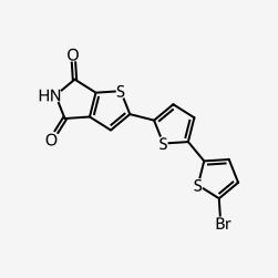 O=C1NC(=O)c2sc(-c3ccc(-c4ccc(Br)s4)s3)cc21